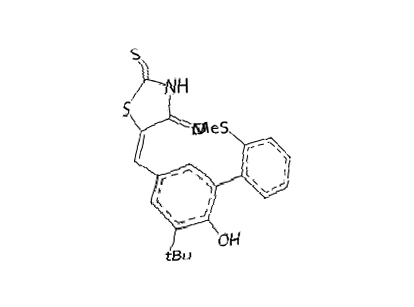 CSc1ccccc1-c1cc(C=C2SC(=S)NC2=O)cc(C(C)(C)C)c1O